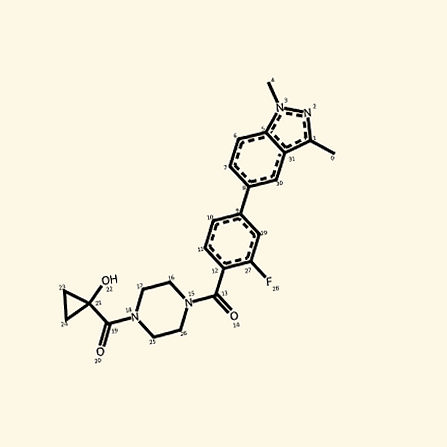 Cc1nn(C)c2ccc(-c3ccc(C(=O)N4CCN(C(=O)C5(O)CC5)CC4)c(F)c3)cc12